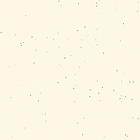 CC/C=C(/CCNC(=O)C1CCN(c2ccc(C(C)C)cc2)C1=O)c1cc(Cl)ccc1C